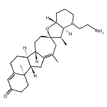 CC1=C2C[C@H]3[C@@H](CCC4=CC(=O)CC[C@@]43C)[C@@H]2CC[C@@]2(C1)O[C@@H]1CCCN(CCN)[C@H]1[C@H]2C